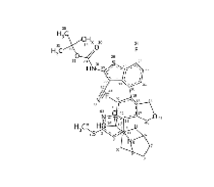 CSc1cc(N2C3CCC2CN(C(=O)O)C3)c2c3c(c(-c4ccc(F)c5sc(NC(=O)OC(C)(C)C)c(C#N)c45)c(F)c2n1)COC3